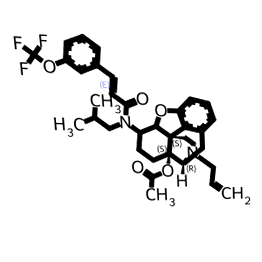 C=CCN1CC[C@]23c4c5cccc4OC2C(N(CC(C)C)C(=O)/C=C/c2cccc(OC(F)(F)F)c2)CC[C@@]3(OC(C)=O)[C@H]1C5